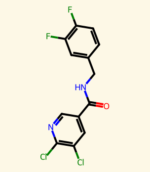 O=C(NCc1ccc(F)c(F)c1)c1cnc(Cl)c(Cl)c1